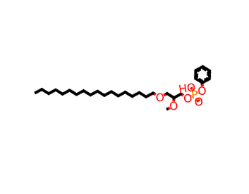 CCCCCCCCCCCCCCCCCCOCC(COP(=O)(O)Oc1ccccc1)OC